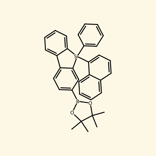 CC1(C)OB(c2ccc3c(c2)[Si](c2ccccc2)(c2cccc4ccccc24)c2ccccc2-3)OC1(C)C